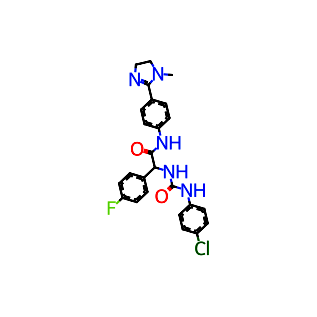 CN1CCN=C1c1ccc(NC(=O)C(NC(=O)Nc2ccc(Cl)cc2)c2ccc(F)cc2)cc1